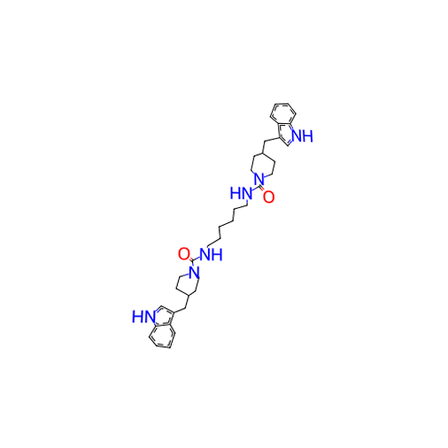 O=C(NCCCCCCNC(=O)N1CCC(Cc2c[nH]c3ccccc23)CC1)N1CCC(Cc2c[nH]c3ccccc23)CC1